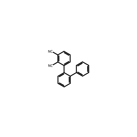 N#Cc1cccc(-c2ccccc2-c2ccccc2)c1C#N